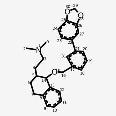 CN(C)CCC1CCc2ccccc2C1OCc1cccc(-c2ccc3c(c2)OCO3)c1